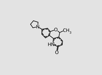 CC1Oc2cc(N3CCCC3)ccc2-c2[nH]c(=O)ccc21